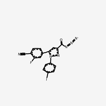 N#Cc1ccc(-c2cc(C(=O)N=[N+]=[N-])nn2-c2ccc(I)cc2)cc1F